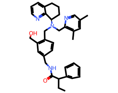 CCC(C(=O)NCc1ccc(CN(Cc2ncc(C)cc2C)[C@@H]2CCCc3cccnc32)c(CO)c1)c1ccccc1